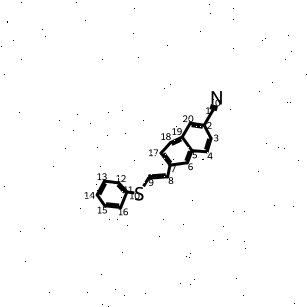 N#Cc1ccc2cc(C=CSc3ccccc3)ccc2c1